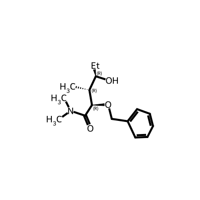 CC[C@@H](O)[C@@H](C)[C@@H](OCc1ccccc1)C(=O)N(C)C